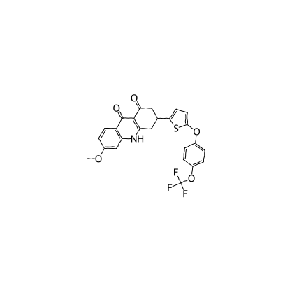 COc1ccc2c(=O)c3c([nH]c2c1)CC(c1ccc(Oc2ccc(OC(F)(F)F)cc2)s1)CC3=O